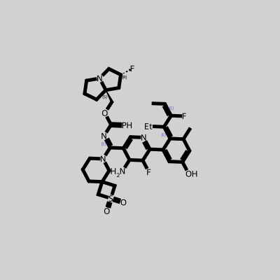 C/C=C(F)\C(CC)=C1\C(C2=NC=C(/C(=N\C(=P)OC[C@@]34CCCN3C[C@H](F)C4)N3CCCC4(C3)CS(=O)(=O)C4)C(N)C2F)=CC(O)=CC1C